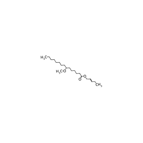 CC/C=C/COC(=O)CCCCCC(CCCCCCCC)OC